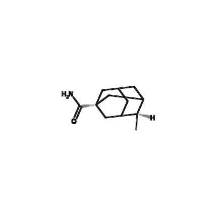 C[C@H]1C2CC3CC1C[C@](C(N)=O)(C3)C2